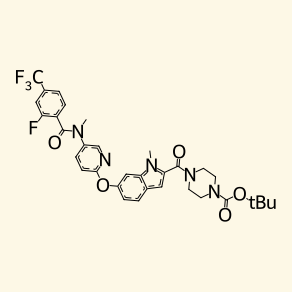 CN(C(=O)c1ccc(C(F)(F)F)cc1F)c1ccc(Oc2ccc3cc(C(=O)N4CCN(C(=O)OC(C)(C)C)CC4)n(C)c3c2)nc1